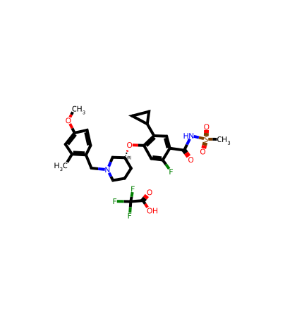 COc1ccc(CN2CCC[C@@H](Oc3cc(F)c(C(=O)NS(C)(=O)=O)cc3C3CC3)C2)c(C)c1.O=C(O)C(F)(F)F